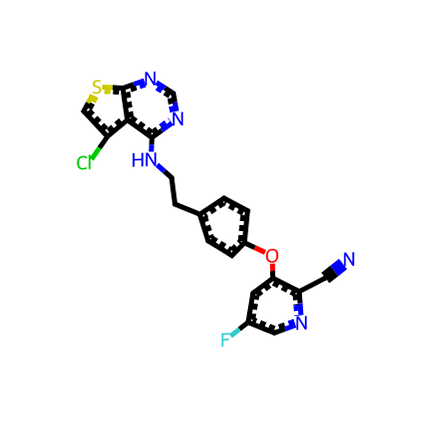 N#Cc1ncc(F)cc1Oc1ccc(CCNc2ncnc3scc(Cl)c23)cc1